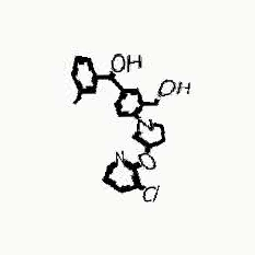 Cc1cccc(C(O)c2ccc(N3CCC(Oc4ncccc4Cl)C3)c(CO)c2)c1